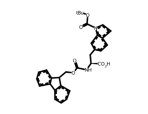 CC(C)(C)OC(=O)n1ccc2ccc(C[C@H](NC(=O)OCC3c4ccccc4-c4ccccc43)C(=O)O)cc21